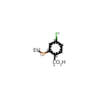 CCSc1cc(F)ccc1C(=O)O